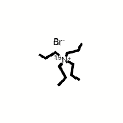 CCC[15N+](CCC)(CCC)CCC.[Br-]